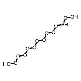 OOBOOOOOOOOOOO